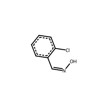 O/N=C\c1ccccc1Cl